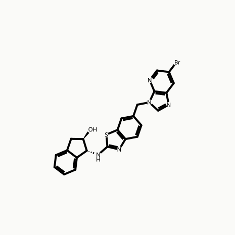 O[C@@H]1Cc2ccccc2[C@H]1Nc1nc2ccc(Cn3cnc4cc(Br)cnc43)cc2s1